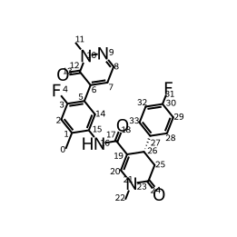 Cc1cc(F)c(-c2ccnn(C)c2=O)cc1NC(=O)C1=CN(C)C(=O)C[C@H]1c1ccc(F)cc1